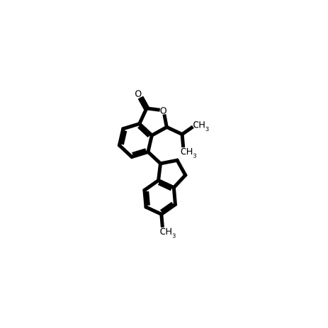 Cc1ccc2c(c1)CCC2c1cccc2c1C(C(C)C)OC2=O